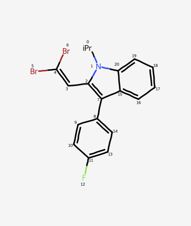 CC(C)n1c(C=C(Br)Br)c(-c2ccc(F)cc2)c2ccccc21